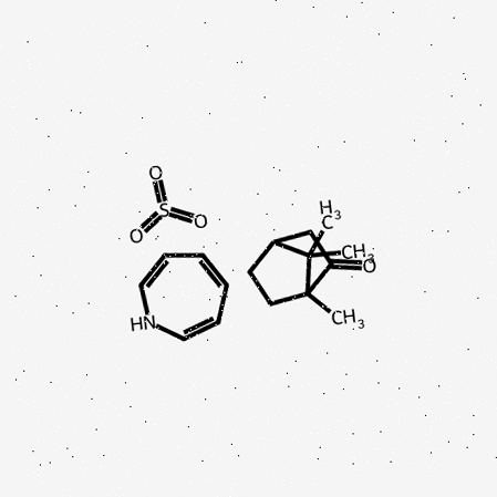 C1=CC=CNC=C1.CC12CCC(CC1=O)C2(C)C.O=S(=O)=O